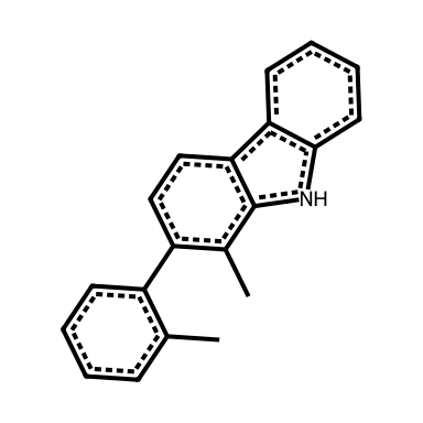 Cc1ccccc1-c1ccc2c([nH]c3ccccc32)c1C